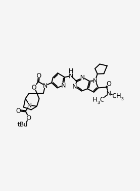 CN(C)C(=O)c1cc2cnc(Nc3ccc(N4CC5(CC6CCC(C5)N6C(=O)OC(C)(C)C)OC4=O)cn3)nc2n1C1CCCC1